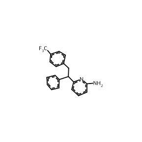 Nc1cccc(C(Cc2ccc(C(F)(F)F)cc2)c2ccccc2)n1